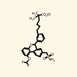 CCOC(=O)C(C)(C)CCCCc1cccc(C2Oc3cccc(OC(F)F)c3-c3ccc(CS(N)(=O)=O)cc32)c1